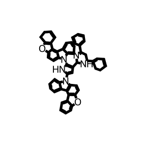 C1=CCCC(C2CC(c3ccccc3)=NC(c3cc(-n4c5ccccc5c5c6c(ccc54)oc4ccccc46)[nH]c3-n3c4ccccc4c4c5c6c(oc5ccc43)CCC=C6)N2)=C1